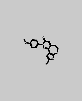 COc1ccc(-n2nc3c(cc2=O)CCSc2sc(Br)cc2-3)cc1